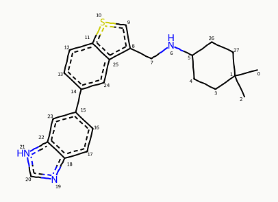 CC1(C)CCC(NCc2csc3ccc(-c4ccc5nc[nH]c5c4)cc23)CC1